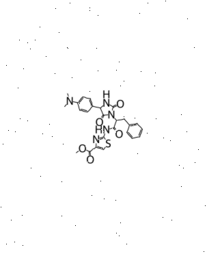 COC(=O)c1csc(NC(=O)C(Cc2ccccc2)N2C(=O)NC(c3ccc(N(C)C)cc3)C2=O)n1